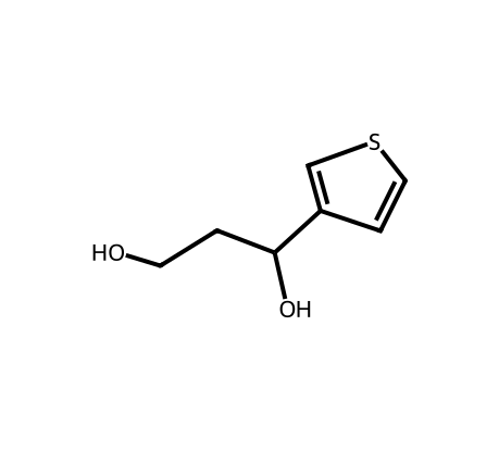 OCCC(O)c1ccsc1